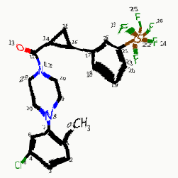 Cc1ccc(Cl)cc1N1CCN(C(=O)C2C[C@H]2c2cccc(S(F)(F)(F)(F)F)c2)CC1